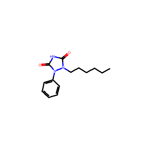 CCCCCCn1c(=O)[nH]c(=O)n1-c1ccccc1